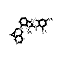 Cc1cc(C)c(Nc2nc3cccc(N(Cc4ccncc4)CC4CC4)c3n2C)c(C)c1